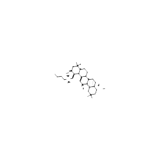 CCCCS(=O)(=O)/C=C1\C(=O)C(=O)C(C)(C)[C@@H]2CC[C@]3(C)C(=CC(=O)[C@@H]4[C@@H]5CC(C)(C)CC[C@]5(C(=O)OC)CC[C@]43C)[C@@]12C